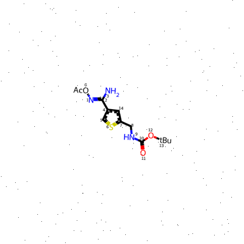 CC(=O)ON=C(N)c1csc(CNC(=O)OC(C)(C)C)c1